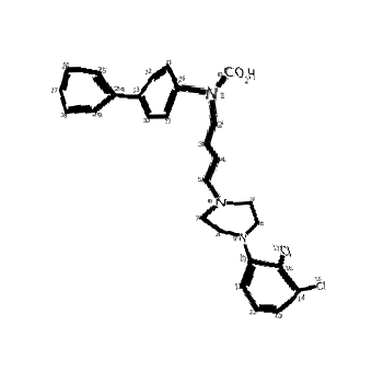 O=C(O)N(CCCCN1CCN(c2cccc(Cl)c2Cl)CC1)c1ccc(-c2ccccc2)cc1